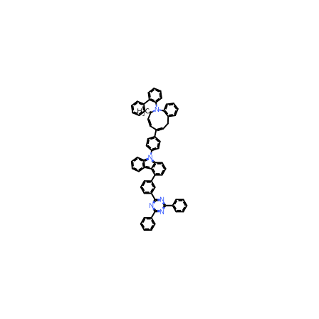 C=C1/C=C\C(c2ccc(-n3c4ccccc4c4c(-c5cccc(-c6nc(-c7ccccc7)nc(-c7ccccc7)n6)c5)cccc43)cc2)=C/Cc2ccccc2N1c1ccccc1-c1ccccc1